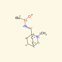 CN1CC2CCC1(C=N[S+]([O-])C(C)(C)C)CC2